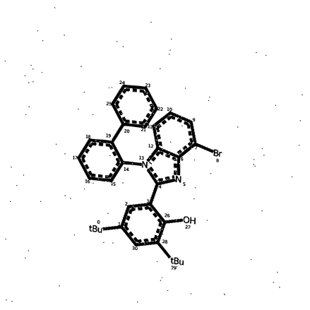 CC(C)(C)c1cc(-c2nc3c(Br)cccc3n2-c2ccccc2-c2ccccc2)c(O)c(C(C)(C)C)c1